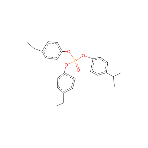 CCc1ccc(OP(=O)(Oc2ccc(CC)cc2)Oc2ccc(C(C)C)cc2)cc1